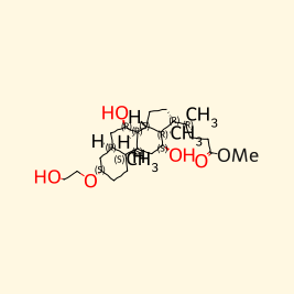 COC(=O)CC[C@@H](C)[C@H]1CC[C@H]2[C@@H]3[C@H](O)C[C@@H]4C[C@@H](OCCO)CC[C@]4(C)[C@H]3C[C@H](O)[C@]12C